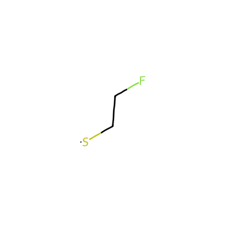 FCC[S]